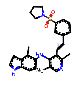 Cc1ncc(C#N)c(Nc2ccc3[nH]ccc3c2C)c1/C=C/c1cccc(S(=O)(=O)N2CCCC2)c1